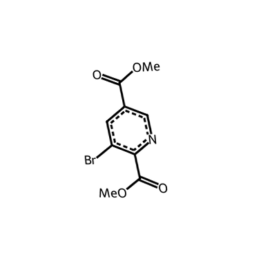 COC(=O)c1cnc(C(=O)OC)c(Br)c1